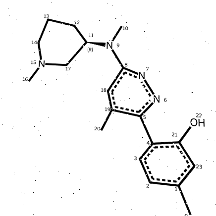 Cc1ccc(-c2nnc(N(C)[C@@H]3CCCN(C)C3)cc2C)c(O)c1